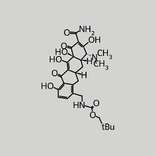 CN(C)[C@H]1C(O)=C(C(N)=O)C(=O)[C@@]2(O)C(O)=C3C(=O)c4c(O)ccc(CNC(=O)OCC(C)(C)C)c4C[C@H]3C[C@@H]12